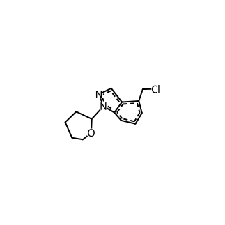 ClCc1cccc2c1cnn2C1CCCCO1